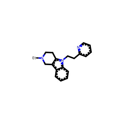 CCN1CCc2c(c3ccccc3n2CCc2ccccn2)C1